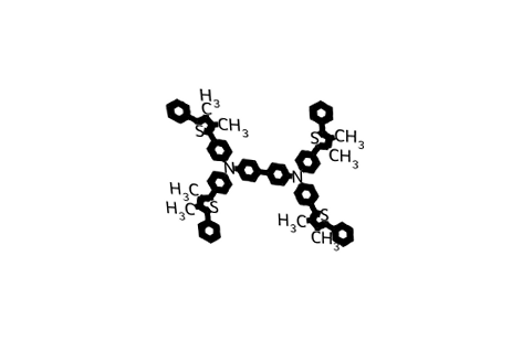 Cc1c(-c2ccccc2)sc(-c2ccc(N(c3ccc(-c4ccc(N(c5ccc(-c6sc(-c7ccccc7)c(C)c6C)cc5)c5ccc(-c6sc(-c7ccccc7)c(C)c6C)cc5)cc4)cc3)c3ccc(-c4sc(-c5ccccc5)c(C)c4C)cc3)cc2)c1C